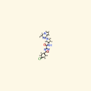 Cc1cn2cccc2c(N2CC[C@H](NC(=O)c3noc(-c4ccc(Cl)cc4)n3)C2)n1